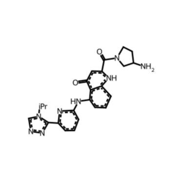 CC(C)n1cnnc1-c1cccc(Nc2cccc3[nH]c(C(=O)N4CCC(N)C4)cc(=O)c23)n1